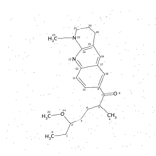 CCC(CCC(C)C(=O)c1ccc2nc3c(cc2c1)CCCN3C)OC